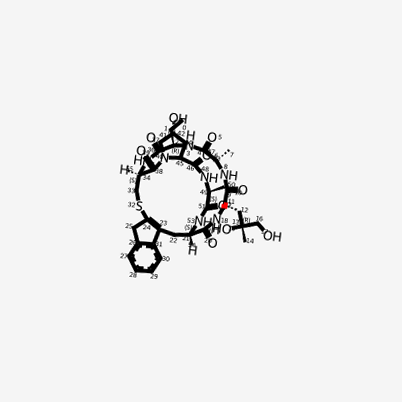 CC[C@H]1NC(=O)[C@H](C)NC(=O)[C@H](C[C@@](C)(O)CO)NC(=O)[C@@H]2CC3=C(Cc4ccccc43)SC[C@@H](NC1=O)C(=O)N1C[C@H](O)CC1C(=O)N[C@@H](C)C(=O)N2